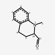 CN1c2ccccc2CCC1[C]=O